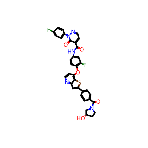 O=C(Nc1ccc(Oc2ccnc3cc(-c4ccc(C(=O)N5CCC(O)C5)cc4)sc23)c(F)c1)c1ccnn(-c2ccc(F)cc2)c1=O